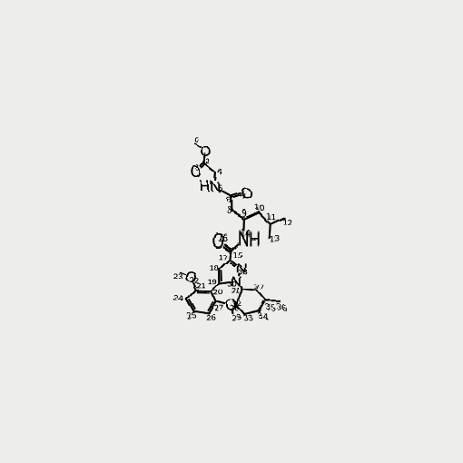 COC(=O)CNC(=O)CC(CC(C)C)NC(=O)c1cc(-c2c(OC)cccc2OC)n(C2CCCC(C)C2)n1